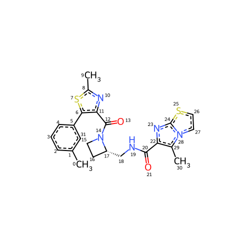 Cc1cccc(-c2sc(C)nc2C(=O)N2CC[C@H]2CNC(=O)c2nc3sccn3c2C)c1